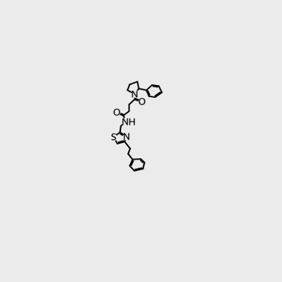 O=C(CCC(=O)N1CCCC1c1ccccc1)NCc1nc(CCc2ccccc2)cs1